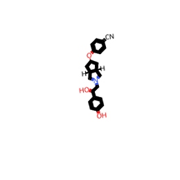 N#Cc1ccc(O[C@@H]2C[C@@H]3CN(CC(O)c4ccc(O)cc4)C[C@@H]3C2)cc1